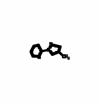 Cc1cnn(-c2ccccn2)c1